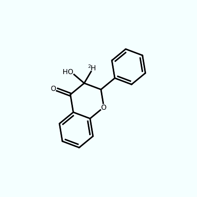 [2H]C1(O)C(=O)c2ccccc2OC1c1ccccc1